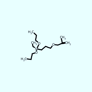 C=C(C)COCCC[Si](CC)(OCCC)OCCC